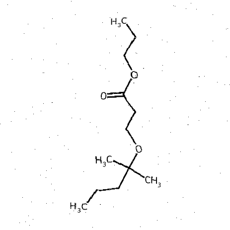 CCCOC(=O)CCOC(C)(C)CCC